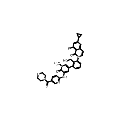 Cn1cc(-c2cccc(-n3ccc4cc(C5CC5)cc(F)c4c3=O)c2CO)cc(Nc2ccc(C(=O)N3CCOCC3)cn2)c1=O